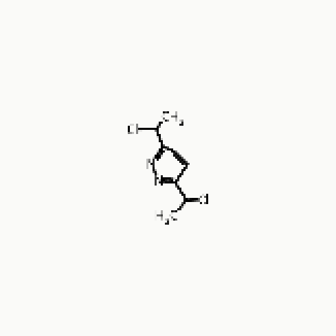 CC(Cl)c1ccc(C(C)Cl)nn1